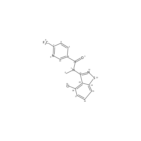 CN(C(=O)c1ccc(C(F)(F)F)nc1)c1nsc2cccc(Cl)c12